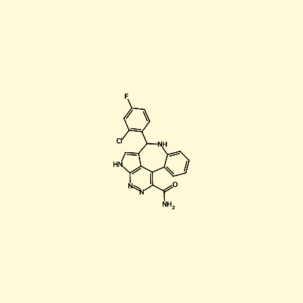 NC(=O)c1nnc2[nH]cc3c2c1-c1ccccc1NC3c1ccc(F)cc1Cl